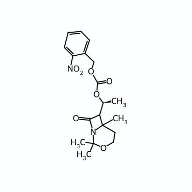 C[C@H](OC(=O)OCc1ccccc1[N+](=O)[O-])C1C(=O)N2C(C)(C)OCCC12C